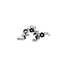 COCC(=O)Nc1nccc(Oc2ccc(NC(=O)Nc3cc(C(C)(C)C)nn3-c3ccc(C)cc3)c(Cl)c2Cl)n1